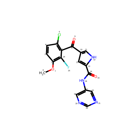 COc1ccc(Cl)c(C(=O)c2c[nH]c(C(=O)Nc3cncnc3)c2)c1F